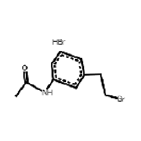 Br.CC(=O)Nc1cccc(CCBr)c1